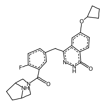 O=C(c1cc(Cc2n[nH]c(=O)c3ccc(OC4CCC4)cc23)ccc1F)N1CC2CCC(C1)N2